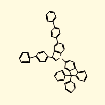 c1ccc(-c2ccc(-c3ccc4c(c3)c(-c3ccc(-c5ccccc5)cc3)cn4-c3ccc4c(c3)C(c3ccccc3)(c3ccccc3)c3ccccc3-4)cc2)cc1